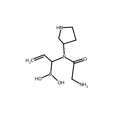 C=CC(B(O)O)N(C(=O)CN)C1CCNC1